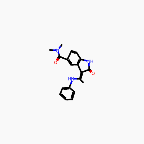 CC(Nc1ccccc1)=C1C(=O)Nc2ccc(C(=O)N(C)C)cc21